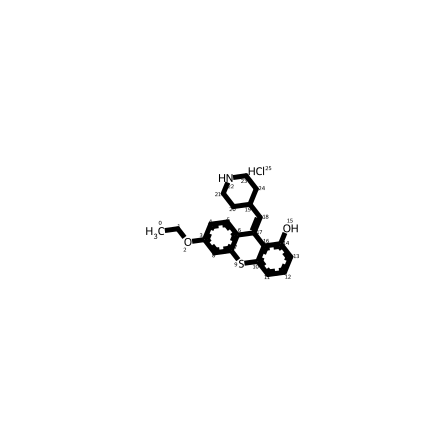 CCOc1ccc2c(c1)Sc1cccc(O)c1C2=CC1CCNCC1.Cl